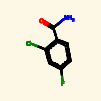 NC(=O)c1ccc(F)cc1Cl